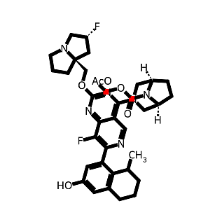 CC(=O)OCOC(=O)N1[C@@H]2CC[C@H]1CN(c1nc(OC[C@@]34CCCN3C[C@H](F)C4)nc3c(F)c(-c4cc(O)cc5c4C(C)CCC5)ncc13)C2